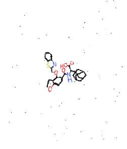 O=C(NC(C(=O)O)C12CC3CC(CC(C3)C1)C2)c1ccc2occc2c1OCc1nc2ccccc2s1